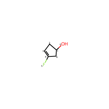 OC1CC=C(F)C1